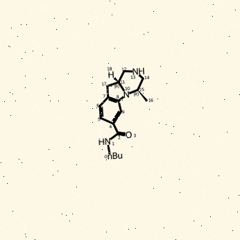 CCCCNC(=O)c1ccc2c(c1)N1[C@@H](CNC[C@H]1C)C2